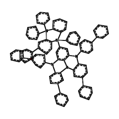 c1ccc(-c2ccc(N3c4ccc(-c5ccccc5)cc4B4c5cc(-c6ccccc6)ccc5N(c5ccc(-c6ccccc6)cc5)c5cc([Si]6(c7ccccc7)c7ccccc7[Si](c7ccccc7)(c7ccccc7)c7cc(-c8ccccc8)ccc76)cc3c54)cc2)cc1